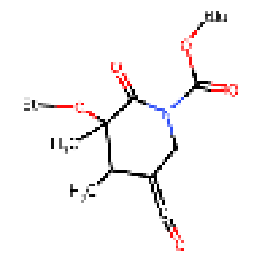 CCOC1(C)C(=O)N(C(=O)OC(C)(C)C)CC(=C=O)C1C